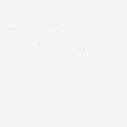 CCCC1(OC)C(C2CCCNC2)CCC[Si]1(OC)OC